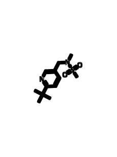 CN(Cc1ccc(C(C)(C)C)nc1)S(C)(=O)=O